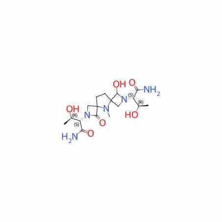 C[C@@H](O)[C@@H](C(N)=O)N1CC2(CCC3(CN([C@H](C(N)=O)[C@@H](C)O)C3O)N2C)C1=O